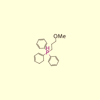 COCCC[PH](C1=CC=CCC1)(c1ccccc1)c1ccccc1